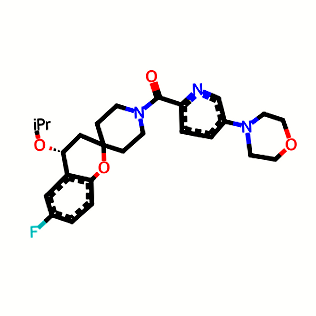 CC(C)O[C@@H]1CC2(CCN(C(=O)c3ccc(N4CCOCC4)cn3)CC2)Oc2ccc(F)cc21